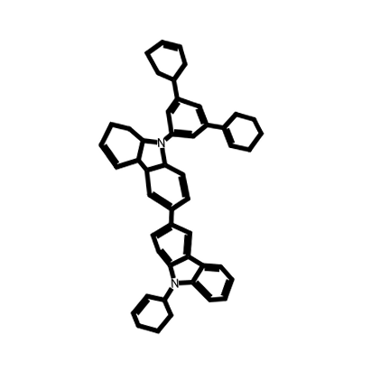 C1=CC(n2c3ccccc3c3cc(C4=CC5C6C=CCCC6N(c6cc(C7=CCCCC7)cc(C7CC=CCC7)c6)C5C=C4)ccc32)CCC1